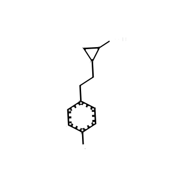 O=C(O)C1CC1CCc1ccc(Br)cc1